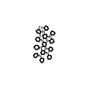 CCc1ccccc1N(c1cc2c3c(c1)N(c1ccccc1)c1cc4c(cc1B3c1ccccc1N2c1ccccc1)B1c2ccccc2N(c2ccccc2)c2cc(N(c3ccccc3)c3ccccc3)cc(c21)N4c1ccccc1)c1ccccc1CC